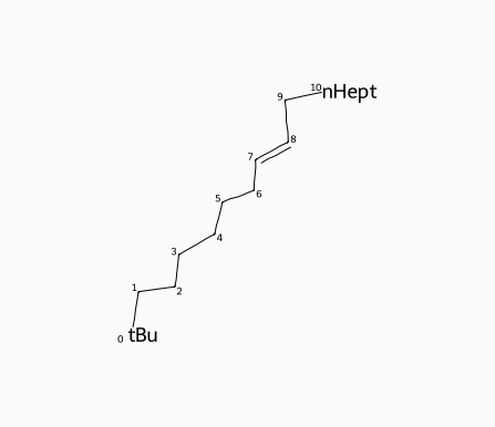 [CH2]C(C)(C)CCCCCCC=CCCCCCCCC